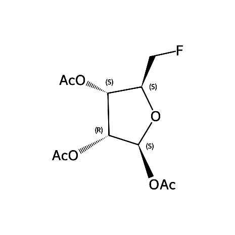 CC(=O)O[C@@H]1O[C@H](CF)[C@@H](OC(C)=O)[C@H]1OC(C)=O